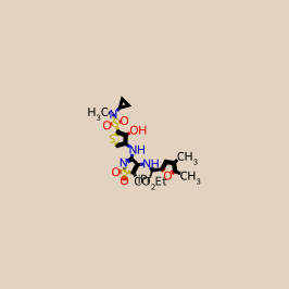 CCOC(=O)C1=C(N[C@@H](c2cc(C)c(C)o2)C(C)C)C(Nc2csc(S(=O)(=O)N(C)C3CC3)c2O)=NS1(=O)=O